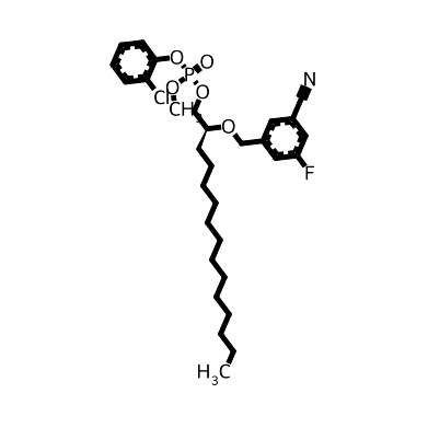 CCCCCCCCCCCCC[C@@H](COP(=O)(OC)Oc1ccccc1Cl)OCc1cc(F)cc(C#N)c1